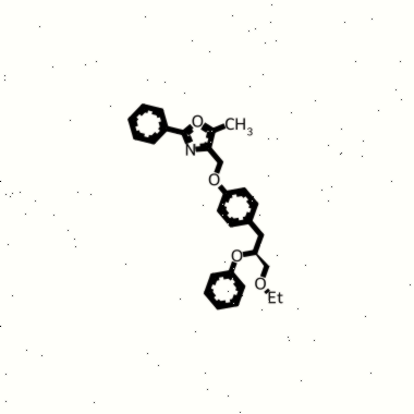 CCOC[C@H](Cc1ccc(OCc2nc(-c3ccccc3)oc2C)cc1)Oc1ccccc1